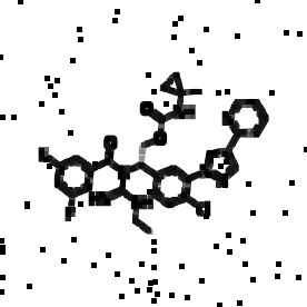 CCNC(=N)N(C(=O)c1cc(F)cc(F)c1)[C@H](COC(=O)NC1(C)CC1)c1ccc(Cl)c(-n2cc(-c3ccccn3)cn2)c1